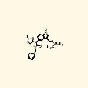 CN(C)CCc1c[nH]c2ccc(C(C(=O)OCc3ccccc3)C3COC(=O)N3)cc12